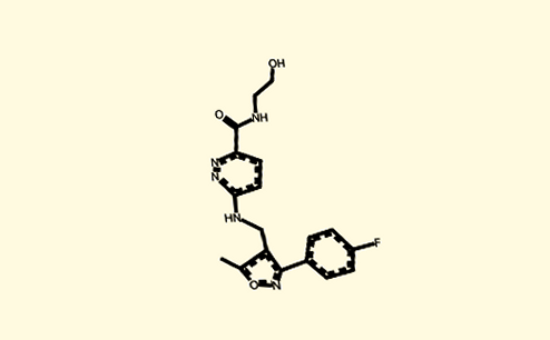 Cc1onc(-c2ccc(F)cc2)c1CNc1ccc(C(=O)NCCO)nn1